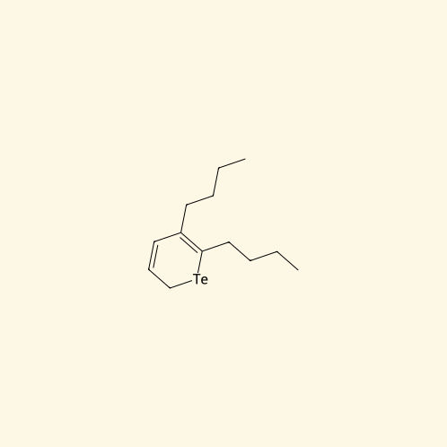 CCCCC1=C(CCCC)[Te]CC=C1